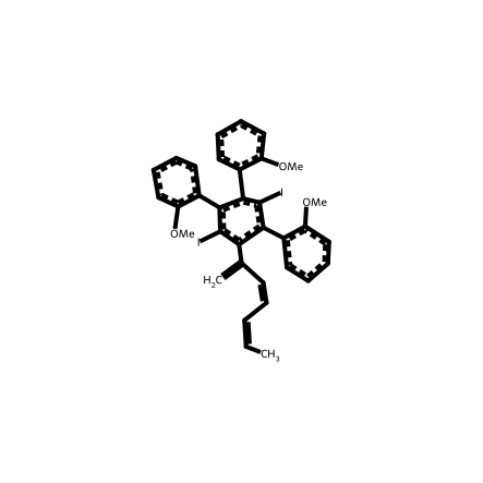 C=C(/C=C\C=C/C)c1c(I)c(-c2ccccc2OC)c(-c2ccccc2OC)c(I)c1-c1ccccc1OC